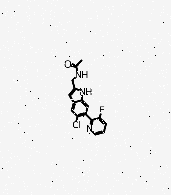 CC(=O)NCc1cc2cc(Cl)c(-c3ncccc3F)cc2[nH]1